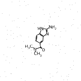 CN(C)C(=O)c1ccc2[nH]c(N)nc2c1